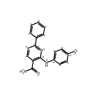 NC(=O)c1cnc(-c2ccccc2)nc1Nc1ccc(Cl)cc1